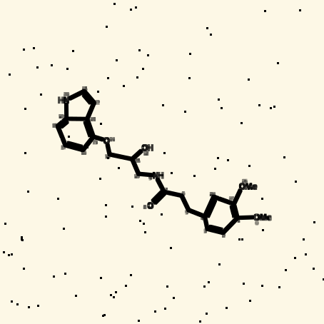 COc1ccc(CCC(=O)NCC(O)COc2cccc3[nH]ccc23)cc1OC